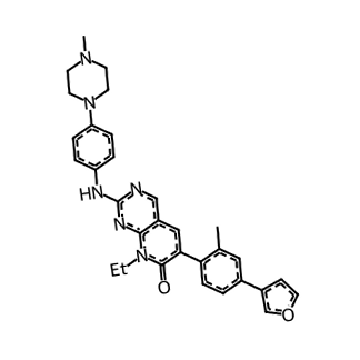 CCn1c(=O)c(-c2ccc(-c3ccoc3)cc2C)cc2cnc(Nc3ccc(N4CCN(C)CC4)cc3)nc21